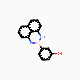 Oc1cccc(B2Nc3cccc4cccc(c34)N2)c1